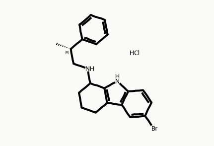 C[C@@H](CNC1CCCc2c1[nH]c1ccc(Br)cc21)c1ccccc1.Cl